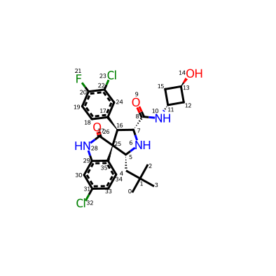 CC(C)(C)C[C@H]1N[C@@H](C(=O)N[C@H]2C[C@H](O)C2)[C@H](c2ccc(F)c(Cl)c2)[C@@]12C(=O)Nc1cc(Cl)ccc12